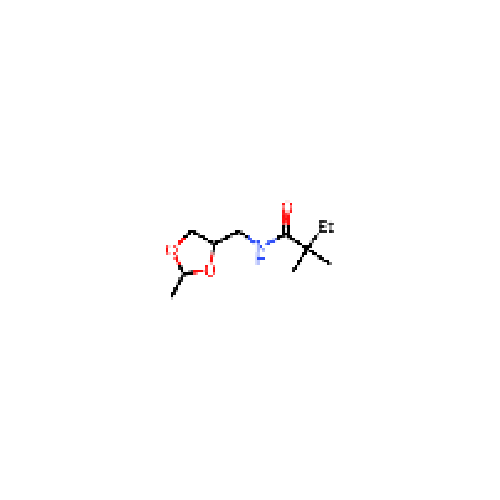 CCC(C)(C)C(=O)NCC1COC(C)O1